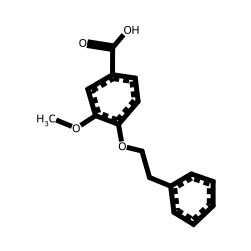 COc1cc(C(=O)O)ccc1OCCc1ccccc1